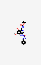 COc1cc(OC)c2c(CNC(=O)OC(C)(C)C)ncc(NC(=O)N(C)Cc3ccccc3)c2c1